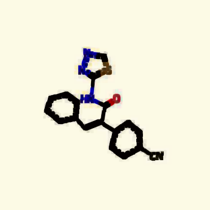 N#Cc1ccc(/C(=C/c2ccccc2)C(=O)Nc2nncs2)cc1